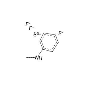 CNc1ccccc1.[B+3].[F-].[F-].[F-]